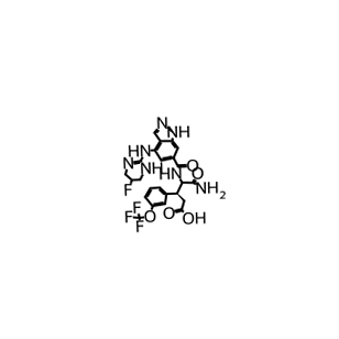 NC(=O)C(NC(=O)c1cc(NC2=NCC(F)CN2)c2cn[nH]c2c1)[C@@H](CC(=O)O)c1cccc(OC(F)(F)F)c1